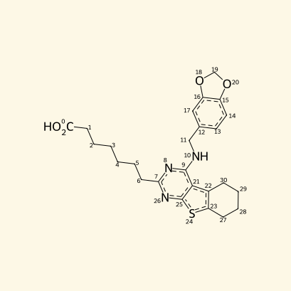 O=C(O)CCCCCCc1nc(NCc2ccc3c(c2)OCO3)c2c3c(sc2n1)CCCC3